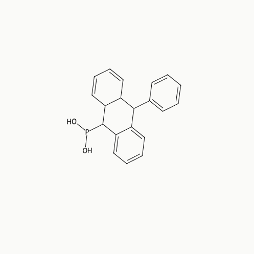 OP(O)C1c2ccccc2C(c2ccccc2)C2C=CC=CC21